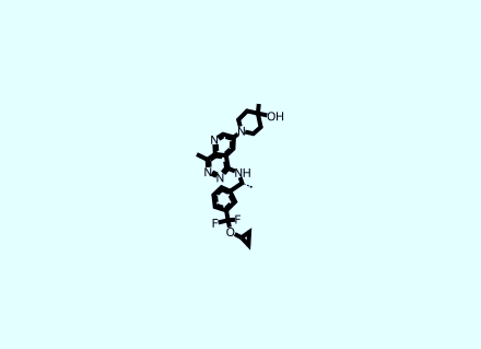 Cc1nnc(N[C@H](C)c2cccc(C(F)(F)OC3CC3)c2)c2cc(N3CCC(C)(O)CC3)cnc12